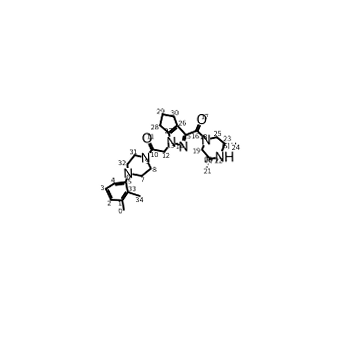 Cc1cccc(N2CCN(C(=O)Cn3nc(C(=O)N4C[C@@H](C)N[C@@H](C)C4)c4c3CCC4)CC2)c1C